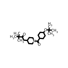 CC(C)(C)OC1CCC(C(=O)N2CCC(CC(=O)C(C)(C)C)CC2)CC1